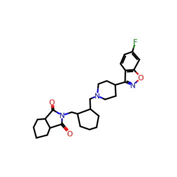 O=C1C2CCCCC2C(=O)N1CC1CCCCC1CN1CCC(c2noc3cc(F)ccc23)CC1